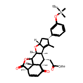 COC(=O)C[C@H]1[C@]2(C)C3=C(C)[C@@H](c4cccc(O[Si](C)(C)C(C)(C)C)c4)C[C@H]3O[C@@H]2[C@@H]2OC(=O)[C@]3(C)C=CC(=O)[C@@]1(C)[C@@H]23